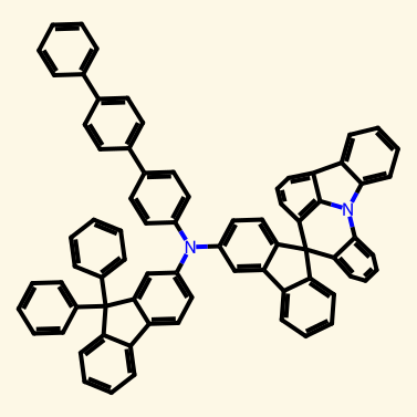 c1ccc(-c2ccc(-c3ccc(N(c4ccc5c(c4)-c4ccccc4C54c5ccccc5-n5c6ccccc6c6cccc4c65)c4ccc5c(c4)C(c4ccccc4)(c4ccccc4)c4ccccc4-5)cc3)cc2)cc1